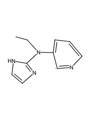 CCN(c1[c]nccc1)c1ncc[nH]1